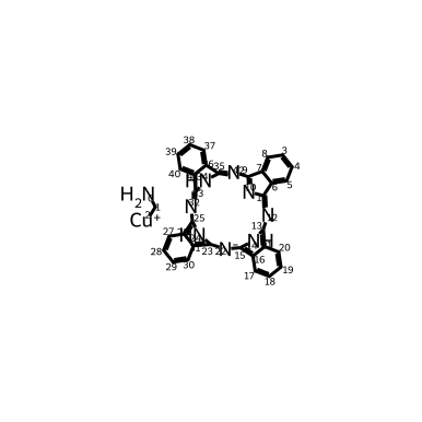 N[CH2][Cu+].c1ccc2c(c1)C1=NC2=Nc2[nH]c(c3ccccc23)[N-]c2[nH]c(c3ccccc23)/N=c2\[nH]c(c3ccccc23)=N1